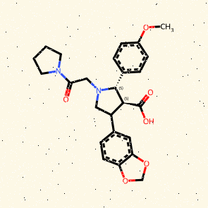 COc1ccc([C@@H]2[C@@H](C(=O)O)C(c3ccc4c(c3)OCO4)CN2CC(=O)N2CCCC2)cc1